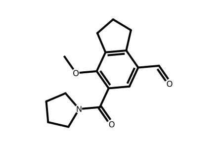 COc1c(C(=O)N2CCCC2)cc(C=O)c2c1CCC2